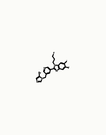 FCCCn1c(-c2cncc(Cn3cncc3Br)c2)nc2cc(F)c(I)cc21